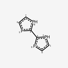 c1c[pH]c(-c2pcc[pH]2)p1